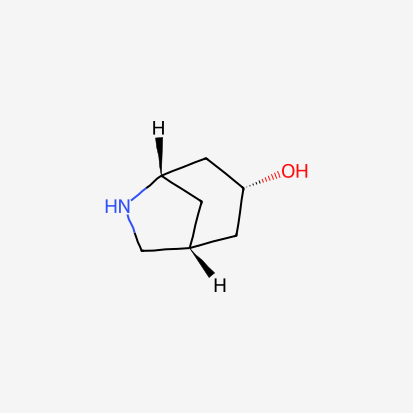 O[C@@H]1C[C@@H]2CN[C@H](C1)C2